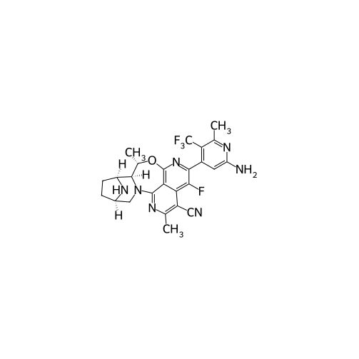 Cc1nc(N)cc(-c2nc3c4c(nc(C)c(C#N)c4c2F)N2C[C@H]4CC[C@H](N4)[C@H]2[C@H](C)O3)c1C(F)(F)F